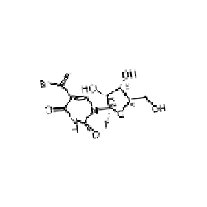 C=C(Br)c1cn([C@]2(F)O[C@H](CO)[C@@H](O)[C@H]2O)c(=O)[nH]c1=O